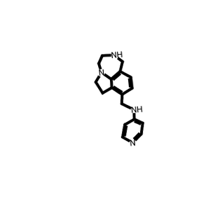 c1cc(NCc2ccc3c4c2CCN4CCNC3)ccn1